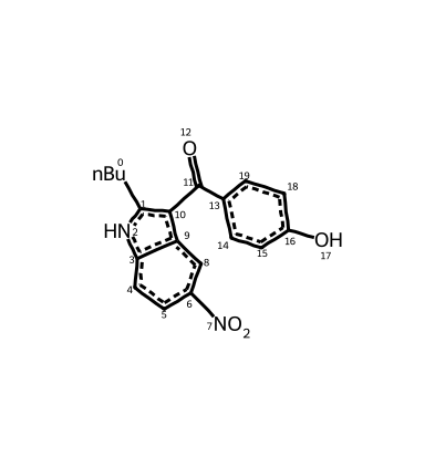 CCCCc1[nH]c2ccc([N+](=O)[O-])cc2c1C(=O)c1ccc(O)cc1